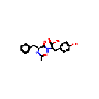 CC(=O)NC(Cc1[c]cccc1)C(=O)NC(Cc1[c]cc(O)cc1)C(=O)O